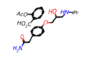 CC(=O)Oc1ccccc1C(=O)O.CC(C)NCC(O)COc1ccc(CC(N)=O)cc1